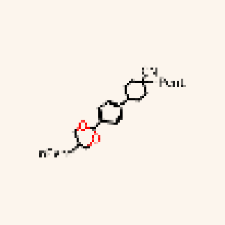 CCCCCC1COC(c2ccc(C3CCC(C#N)(CCCCC)CC3)cc2)OC1